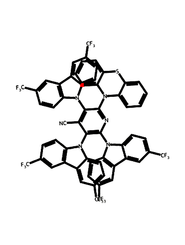 N#Cc1c(-n2c3ccc(C(F)(F)F)cc3c3cc(C(F)(F)F)ccc32)c(N2c3ccccc3Sc3ccccc32)nc(-n2c3ccc(C(F)(F)F)cc3c3cc(C(F)(F)F)ccc32)c1-n1c2ccc(C(F)(F)F)cc2c2cc(C(F)(F)F)ccc21